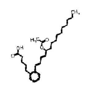 CCCCCCCCCCC(/C=C/C=C/c1ccccc1CCCCC(=O)O)OC(C)=O